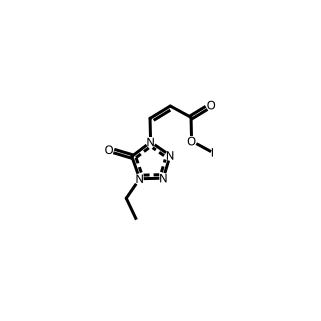 CCn1nnn(/C=C\C(=O)OI)c1=O